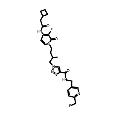 O=C(CC1CCC1)Nc1ccn(CCC(F)Cn2cc(C(=O)NCc3ccc(CF)nc3)nn2)c(=O)c1F